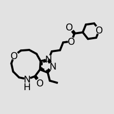 CCc1nn(CCCOC(=O)C2CCOCC2)c2c1C(=O)NCCCOCCC2